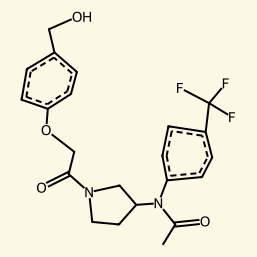 CC(=O)N(c1ccc(C(F)(F)F)cc1)C1CCN(C(=O)COc2ccc(CO)cc2)C1